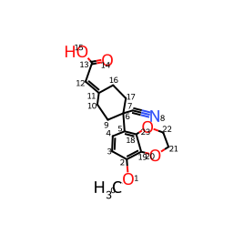 COc1ccc(C2(C#N)CCC(=CC(=O)O)CC2)c2c1OCCO2